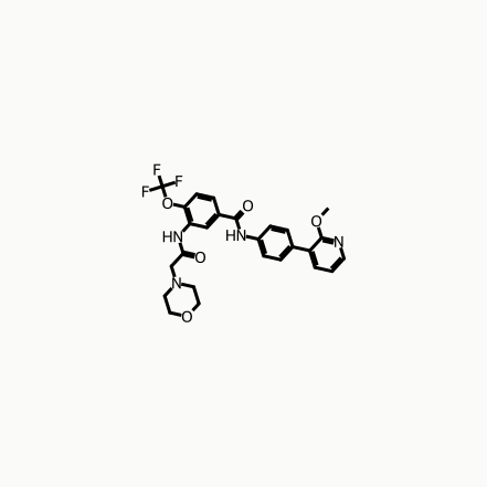 COc1ncccc1-c1ccc(NC(=O)c2ccc(OC(F)(F)F)c(NC(=O)CN3CCOCC3)c2)cc1